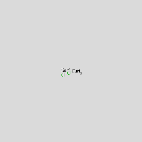 [Ca+2].[CaH2].[Cl-].[Cl-]